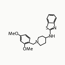 COc1ccc(CN2CCC(Nc3nc4ccccc4s3)CC2)c(OC)c1